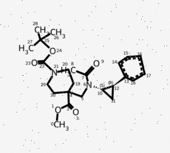 COC(=O)C1(CN(C(C)=O)[C@H]2C[C@@H]2c2ccccc2)CCN(C(=O)OC(C)(C)C)CC1